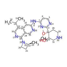 COC1(c2nccc(Nc3cc4c(C(C)C)cnc(N5CC[C@@H]5C)c4cn3)n2)CCNCC1O